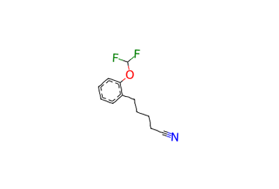 N#CCCCCc1ccccc1OC(F)F